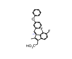 CC1=C(CC(=O)O)c2ccc(F)c(F)c2/C1=C\c1cccc(Oc2ccccc2)c1